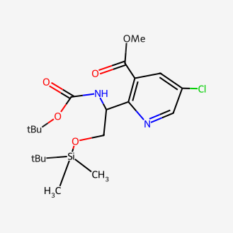 COC(=O)c1cc(Cl)cnc1C(CO[Si](C)(C)C(C)(C)C)NC(=O)OC(C)(C)C